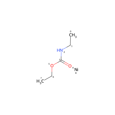 CCNC(=O)OCC.[Ni]